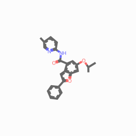 Cc1ccc(NC(=O)c2cc(OC(C)C)cc3oc(-c4ccccc4)cc23)nc1